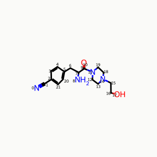 N#Cc1ccc(CC(N)C(=O)N2CCN(CCO)CC2)cc1